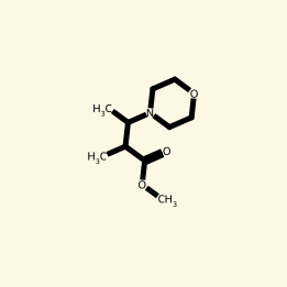 COC(=O)C(C)C(C)N1CCOCC1